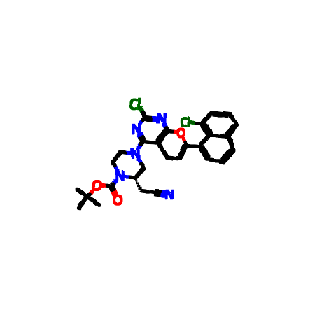 CC(C)(C)OC(=O)N1CCN(c2nc(Cl)nc3c2CC=C(c2cccc4cccc(Cl)c24)O3)C[C@@H]1CC#N